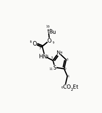 CCOC(=O)Cc1cnc(NC(=O)OC(C)(C)C)s1